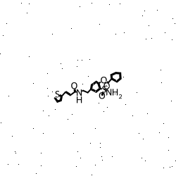 NS(=O)(=O)c1cc(CCNC(=O)/C=C/c2cccs2)ccc1OCc1ccccc1